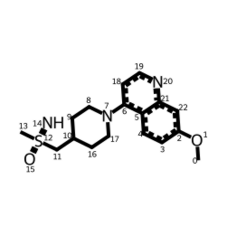 COc1ccc2c(N3CCC(CS(C)(=N)=O)CC3)ccnc2c1